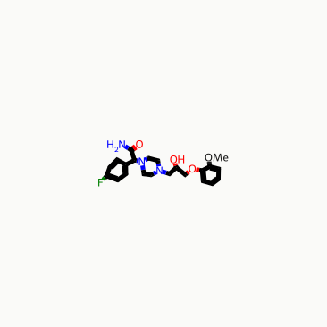 COc1ccccc1OCC(O)CN1CCN(C(C(N)=O)c2ccc(F)cc2)CC1